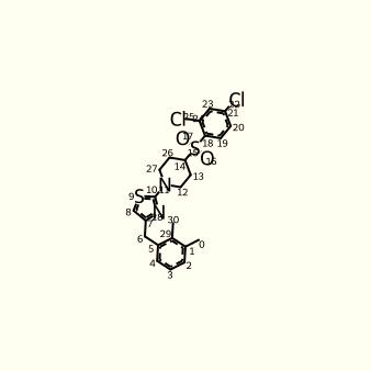 Cc1cccc(Cc2csc(N3CCC(S(=O)(=O)c4ccc(Cl)cc4Cl)CC3)n2)c1C